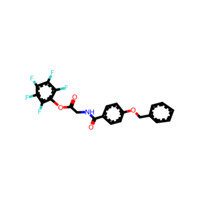 O=C(CNC(=O)c1ccc(OCc2ccccc2)cc1)Oc1c(F)c(F)c(F)c(F)c1F